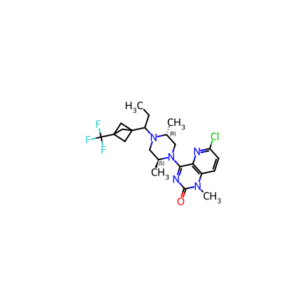 CCC(N1C[C@H](C)N(c2nc(=O)n(C)c3ccc(Cl)nc23)C[C@H]1C)C12CC(C(F)(F)F)(C1)C2